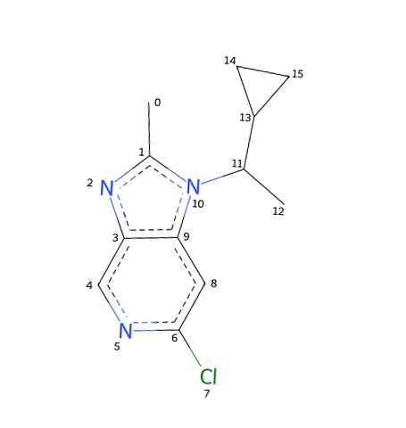 Cc1nc2cnc(Cl)cc2n1C(C)C1CC1